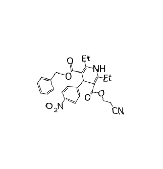 CCC1=C(C(=O)OCCC#N)C(c2ccc([N+](=O)[O-])cc2)C(C(=O)OCc2ccccc2)=C(CC)N1